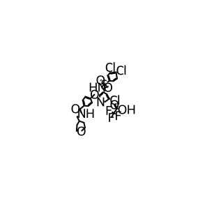 O=C(NCC1CCOCC1)c1ccc(Oc2ncc(Cl)cc2NS(=O)(=O)c2ccc(Cl)c(Cl)c2)cc1.O=C(O)C(F)(F)F